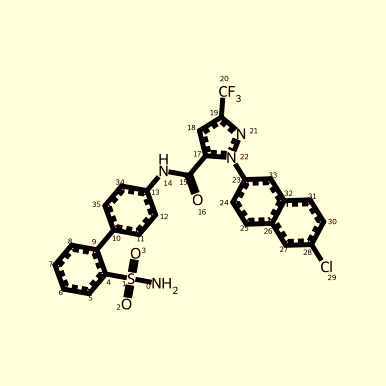 NS(=O)(=O)c1ccccc1-c1ccc(NC(=O)c2cc(C(F)(F)F)nn2-c2ccc3cc(Cl)ccc3c2)cc1